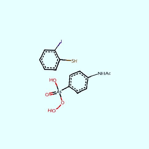 CC(=O)Nc1ccc([As](=O)(O)OO)cc1.Sc1ccccc1I